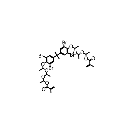 C=C(C)C(=O)OC(C)OC(C)OC(C)Oc1c(Br)cc(C(C)(C)c2cc(Br)c(OC(C)OC(C)OC(C)OC(=O)C(=C)C)c(Br)c2)cc1Br